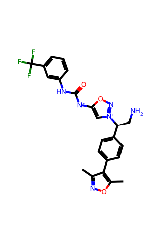 Cc1noc(C)c1-c1ccc([C@H](CN)[n+]2cc([N-]C(=O)Nc3cccc(C(F)(F)F)c3)on2)cc1